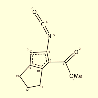 COC(=O)c1c(N=C=O)sc2c1CCC2